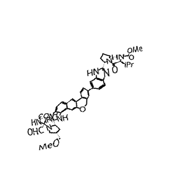 COC[C@H]1C[C@@H](c2nc3ccc4cc5c(cc4c3[nH]2)OCc2cc(-c3ccc4nc([C@@H]6CCCN6C(=O)C(NC(=O)OC)C(C)C)[nH]c4c3)ccc2-5)N([C@@](C=O)(NC(=O)O)C(C)C)C1